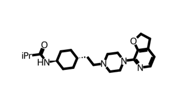 CC(C)C(=O)N[C@H]1CC[C@H](CCN2CCN(c3nccc4c3OCC4)CC2)CC1